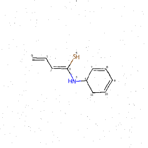 C=C/C=C(\S)NC1C=CC=CC1